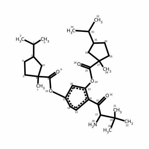 CC(C)C1CCC(C)(C(=O)Oc2ccc(C(=O)C(N)C(C)(C)C)c(OC(=O)C3(C)CCC(C(C)C)C3)c2)C1